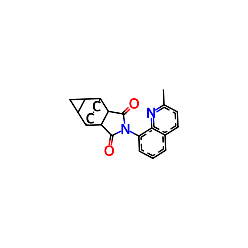 Cc1ccc2cccc(N3C(=O)C4C5CCC(C6CC65)C4C3=O)c2n1